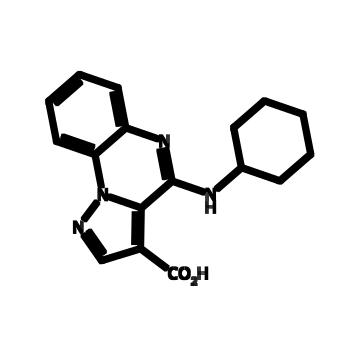 O=C(O)c1cnn2c1c(NC1CCCCC1)nc1ccccc12